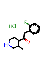 CC1CNCCC1C(=O)Cc1ccccc1F.Cl